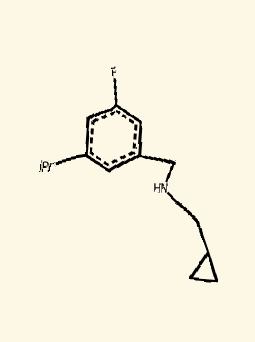 CC(C)c1cc(F)cc(CNCC2CC2)c1